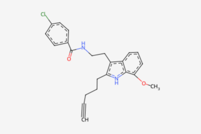 C#CCCCc1[nH]c2c(OC)cccc2c1CCNC(=O)c1ccc(Cl)cc1